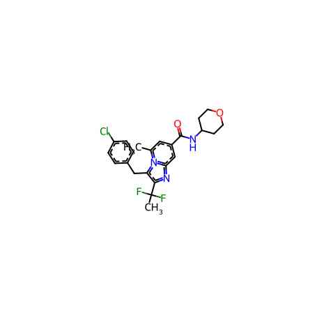 Cc1cc(C(=O)NC2CCOCC2)cc2nc(C(C)(F)F)c(Cc3ccc(Cl)cc3)n12